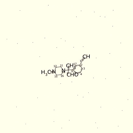 C#Cc1cccc(C(C)(C=O)N2CCN(C)CC2)c1